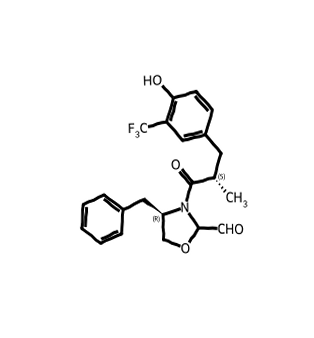 C[C@@H](Cc1ccc(O)c(C(F)(F)F)c1)C(=O)N1C(C=O)OC[C@H]1Cc1ccccc1